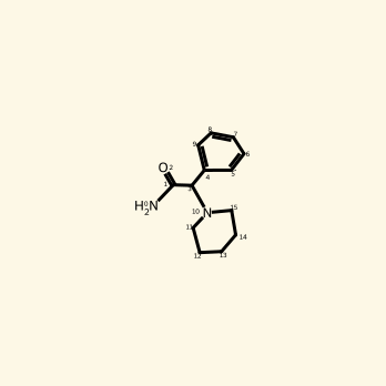 NC(=O)C(c1[c]cccc1)N1CCCCC1